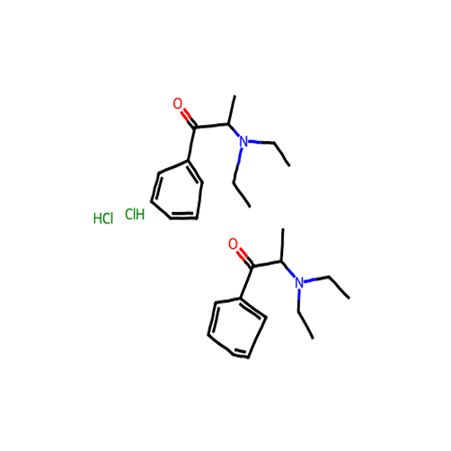 CCN(CC)C(C)C(=O)c1ccccc1.CCN(CC)C(C)C(=O)c1ccccc1.Cl.Cl